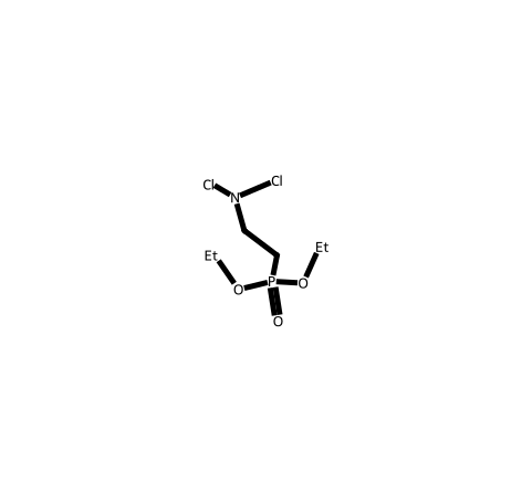 CCOP(=O)(CCN(Cl)Cl)OCC